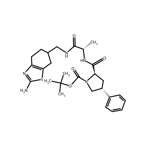 C[C@H](NC(=O)[C@H]1C[C@H](c2ccccc2)CN1C(=O)OC(C)(C)C)C(=O)NCC1CCc2nc(N)sc2C1